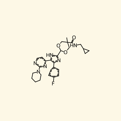 CC1(C(=O)NCC2CC2)COC(c2nc(-c3ccc(F)cc3)c(-c3ccnc(N4CCCCC4)n3)[nH]2)OC1